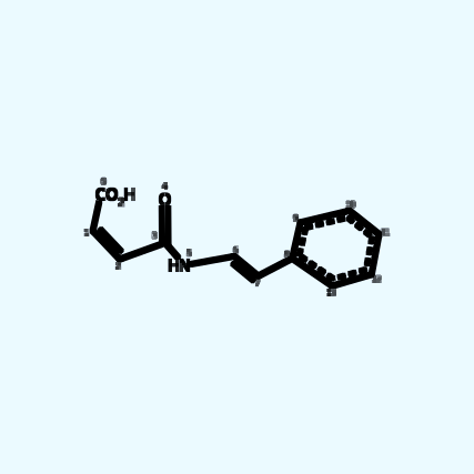 O=C(O)/C=C\C(=O)NC=Cc1ccccc1